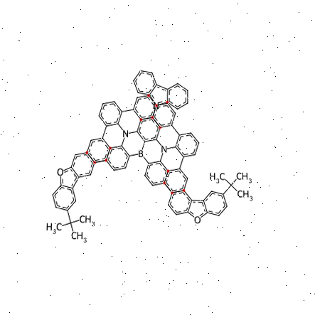 CC(C)(C)c1ccc2oc3ccc(-c4ccc5c(c4)N(c4c(-c6ccccc6)cccc4-c4ccccc4)c4cc(-n6c7ccccc7c7ccccc76)cc6c4B5c4ccc(-c5ccc7oc8ccc(C(C)(C)C)cc8c7c5)cc4N6c4c(-c5ccccc5)cccc4-c4ccccc4)cc3c2c1